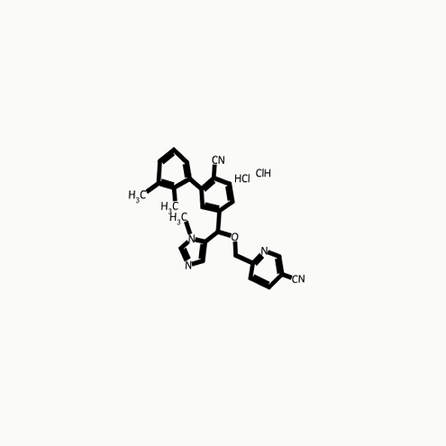 Cc1cccc(-c2cc(C(OCc3ccc(C#N)cn3)c3cncn3C)ccc2C#N)c1C.Cl.Cl